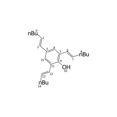 CCCCC=Cc1cc(C=CCCCC)c(O)c(C=CCCCC)c1